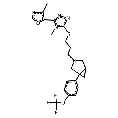 Cc1ncoc1-c1nnc(SCCCN2CC3CC3(c3ccc(OC(F)(F)F)cc3)C2)n1C